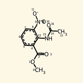 COC(=O)c1cccc([N+](=O)[O-])c1NC(C)=O